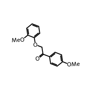 COc1ccc(C(=O)COc2ccccc2OC)cc1